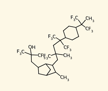 CC1C2CC(CC(O)(C(F)(F)F)C(F)(F)F)C(C2)C1CC(C)(CC(C1CCC(C(C)(C(F)(F)F)C(F)(F)F)CC1)(C(F)(F)F)C(F)(F)F)C(F)(F)F